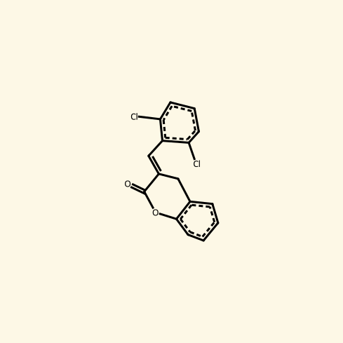 O=C1Oc2ccccc2CC1=Cc1c(Cl)cccc1Cl